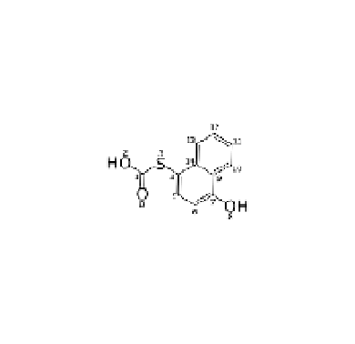 O=C(O)Sc1ccc(O)c2ccccc12